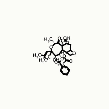 CC(=O)O[C@@]12COC1C[C@H](O)[C@@]1(C)C(=O)[C@@H](C)OC(C)(C=C(C)C)[C@H](O)[C@@H](OC(=O)c3ccccc3)[C@@H]12